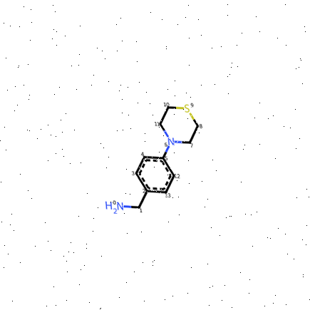 NCc1ccc(N2CCSCC2)cc1